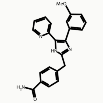 COc1cccc(-c2nc(Cc3ccc(C(N)=O)cc3)[nH]c2-c2ccccn2)c1